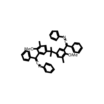 COc1c(C)cc(C(C)(C)c2cc(C)c(OC)c(C(=C=Nc3ccccc3)c3ccccc3)c2)cc1C(=C=Nc1ccccc1)c1ccccc1